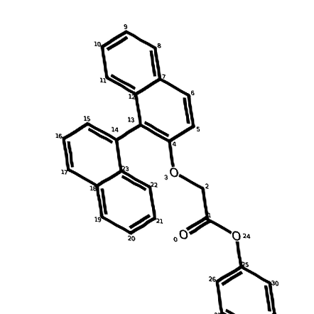 O=C(COc1ccc2ccccc2c1-c1cccc2ccccc12)Oc1ccccc1